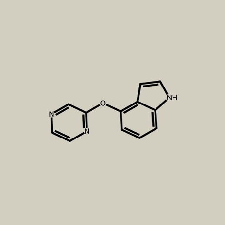 c1cc(Oc2cnccn2)c2cc[nH]c2c1